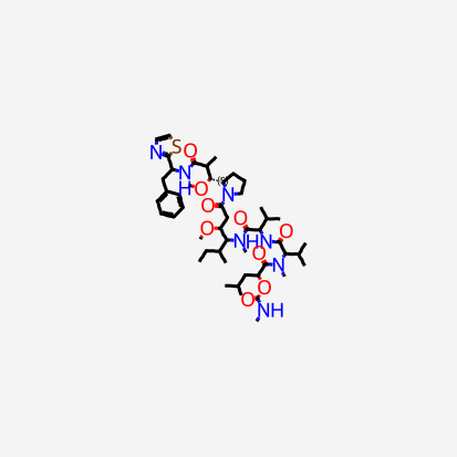 CCC(C)C(C(CC(=O)N1CCC[C@H]1C(OC)C(C)C(=O)NC(Cc1ccccc1)c1nccs1)OC)N(C)C(=O)C(NC(=O)C(C(C)C)N(C)C(=O)C(CC(C)C)OC(=O)NC)C(C)C